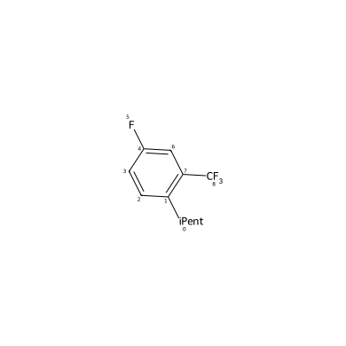 CCCC(C)c1ccc(F)cc1C(F)(F)F